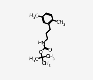 Cc1ccc(C)c(CCCNC(=O)OC(C)(C)C)c1